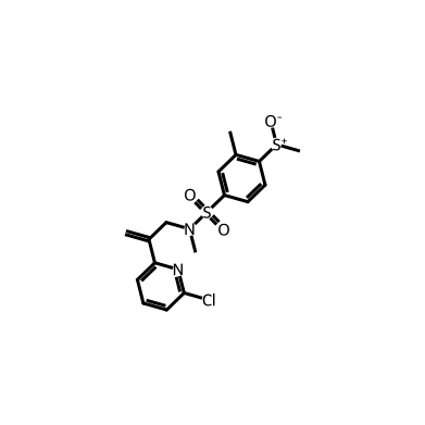 C=C(CN(C)S(=O)(=O)c1ccc([S+](C)[O-])c(C)c1)c1cccc(Cl)n1